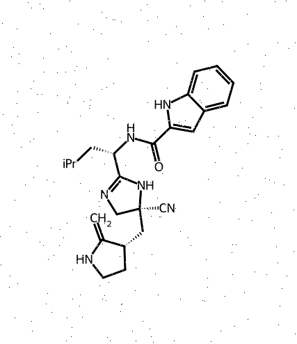 C=C1NCC[C@H]1C[C@@]1(C#N)CN=C([C@H](CC(C)C)NC(=O)c2cc3ccccc3[nH]2)N1